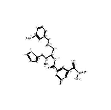 CCCN(CCC)C(=O)c1cc(C)cc(C(=O)O[C@H](CNCc2cccc(OC)c2)[C@H](N)Cc2ccco2)c1